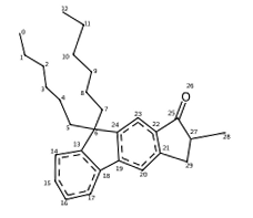 CCCCCCC1(CCCCCC)c2ccccc2-c2cc3c(cc21)C(=O)C(C)C3